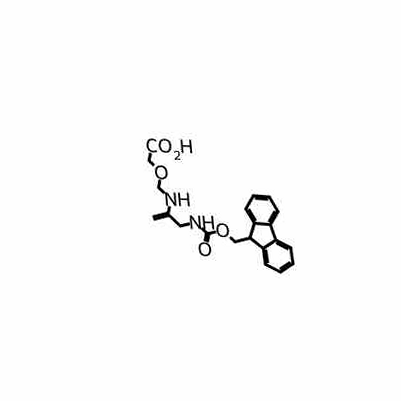 C=C(CNC(=O)OCC1c2ccccc2-c2ccccc21)NCOCC(=O)O